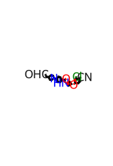 N#Cc1ccc(O[C@H]2C[C@H](NC(=O)c3ccc(N4CCC(CC=O)CC4)cc3)C2)cc1Cl